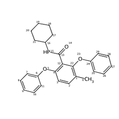 Cc1ccc(Oc2ccccc2)c(C(=O)PC2CCCCC2)c1Oc1ccccc1